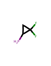 FC1(F)CC1P